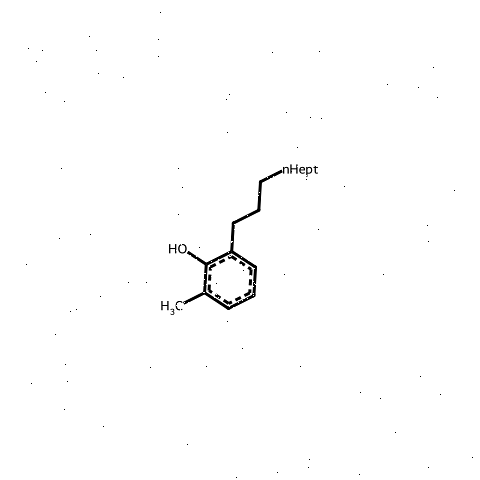 CCCCCCCCCCc1cccc(C)c1O